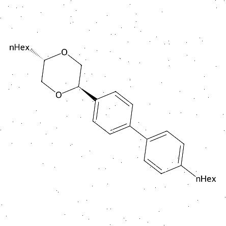 CCCCCCc1ccc(-c2ccc([C@@H]3CO[C@@H](CCCCCC)CO3)cc2)cc1